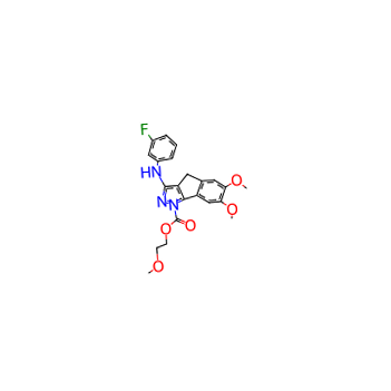 COCCOC(=O)n1nc(Nc2cccc(F)c2)c2c1-c1cc(OC)c(OC)cc1C2